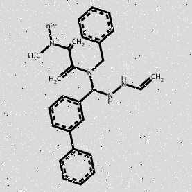 C=CNNC(c1cccc(-c2ccccc2)c1)N(Cc1ccccc1)C(=C)C(=C)N(C)CCC